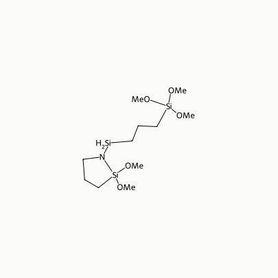 CO[Si](CCC[SiH2]N1CCC[Si]1(OC)OC)(OC)OC